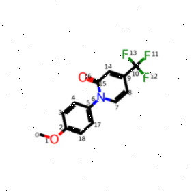 COc1ccc(-n2ccc(C(F)(F)F)cc2=O)cc1